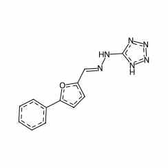 C(=N\Nc1nnn[nH]1)/c1ccc(-c2ccccc2)o1